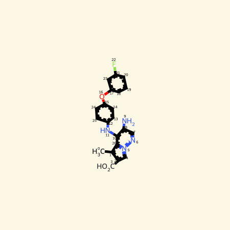 Cc1c(C(=O)O)cn2ncc(N)c(Nc3ccc(Oc4cccc(F)c4)cc3)c12